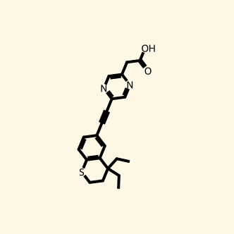 CCC1(CC)CCSc2ccc(C#Cc3cnc(CC(=O)O)cn3)cc21